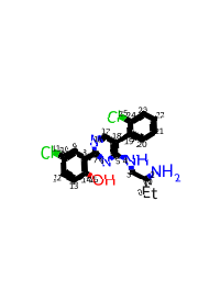 CC[C@@H](N)CNc1nc(-c2cc(Cl)ccc2O)ncc1-c1ccccc1Cl